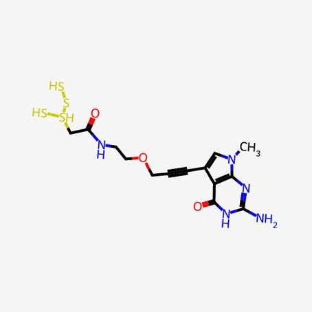 Cn1cc(C#CCOCCNC(=O)C[SH](S)SS)c2c(=O)[nH]c(N)nc21